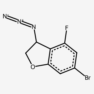 [N-]=[N+]=NC1COc2cc(Br)cc(F)c21